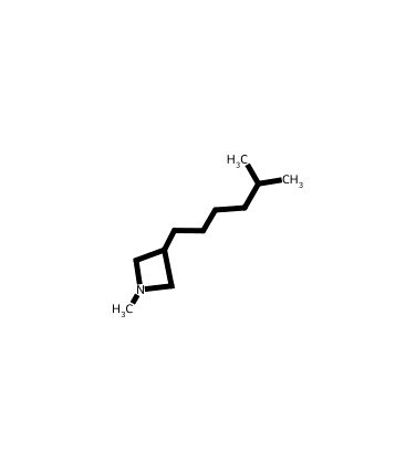 CC(C)CCCCC1CN(C)C1